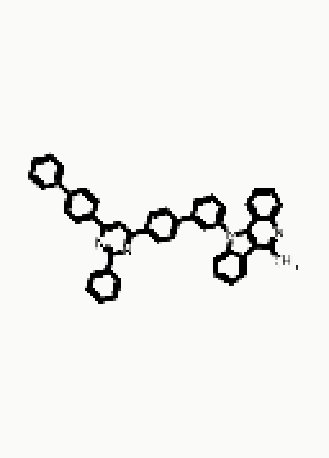 Cc1nc2ccccc2c2c1c1ccccc1n2-c1cccc(-c2ccc(-c3cc(-c4ccc(-c5ccccc5)cc4)nc(-c4ccccc4)n3)cc2)c1